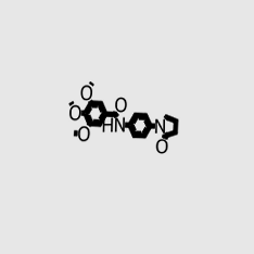 COc1cc(C(=O)Nc2ccc(N3CCCC3=O)cc2)cc(OC)c1OC